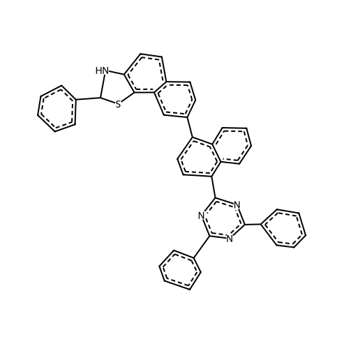 c1ccc(-c2nc(-c3ccccc3)nc(-c3ccc(-c4ccc5ccc6c(c5c4)SC(c4ccccc4)N6)c4ccccc34)n2)cc1